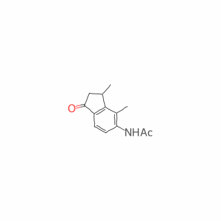 CC(=O)Nc1ccc2c(c1C)C(C)CC2=O